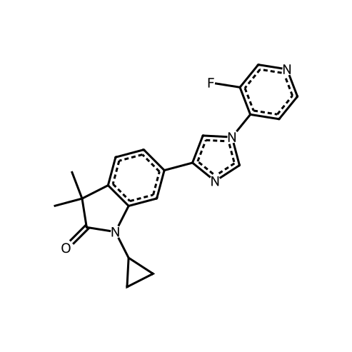 CC1(C)C(=O)N(C2CC2)c2cc(-c3cn(-c4ccncc4F)cn3)ccc21